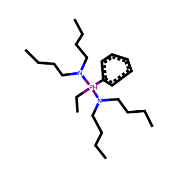 CCCCN(CCCC)[PH](CC)(c1ccccc1)N(CCCC)CCCC